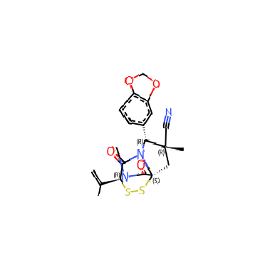 C=C(C)[C@@]12SS[C@@]3(C[C@@](C)(C#N)[C@@H](c4ccc5c(c4)OCO5)N3C1=O)C(=O)N2C